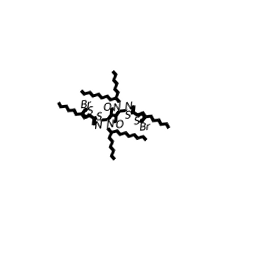 CCCCCCCCC(CCCCCC)CN1C(=O)C2=C(c3ncc(-c4cc(CCCCCC)c(Br)s4)s3)N(CC(CCCCCC)CCCCCCCC)C(=O)C2=C1c1ncc(-c2cc(CCCCCC)c(Br)s2)s1